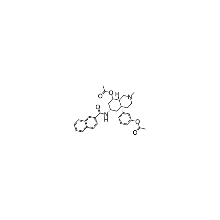 CC(=O)Oc1cccc([C@@]23CCN(C)C[C@H]2C(OC(C)=O)C[C@@H](NC(=O)c2ccc4ccccc4c2)C3)c1